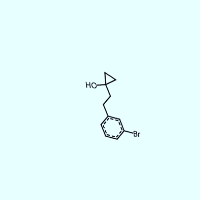 OC1(CCc2cccc(Br)c2)CC1